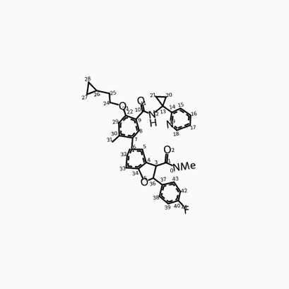 CNC(=O)C1c2cc(-c3cc(C(=O)NC4(c5ccccn5)CC4)c(OCCC4CC4)cc3C)ccc2OC1c1ccc(F)cc1